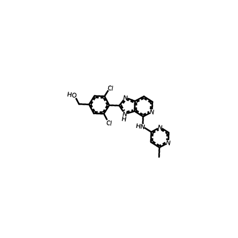 Cc1cc(Nc2nccc3nc(-c4c(Cl)cc(CO)cc4Cl)[nH]c23)ncn1